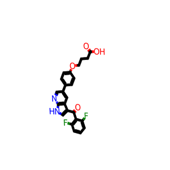 O=C(O)CCCOc1ccc(-c2cnc3[nH]cc(C(=O)c4c(F)cccc4F)c3c2)cc1